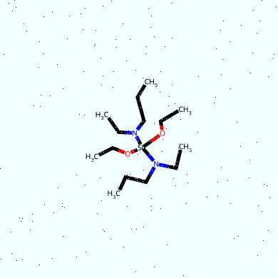 CCCN(CC)[Si](OCC)(OCC)N(CC)CCC